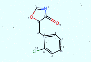 O=C1N=COC1Cc1ccccc1Cl